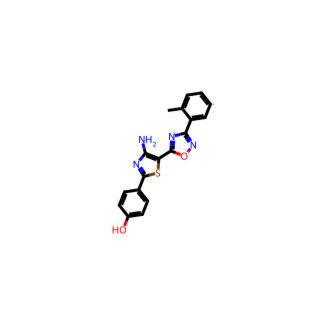 Cc1cc[c]cc1-c1noc(-c2sc(-c3ccc(O)cc3)nc2N)n1